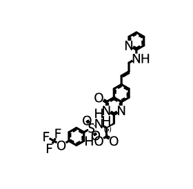 O=C(O)[C@H](Cc1nc2ccc(C=CCNc3ccccn3)cc2c(=O)[nH]1)NS(=O)(=O)c1ccc(OC(F)(F)F)cc1